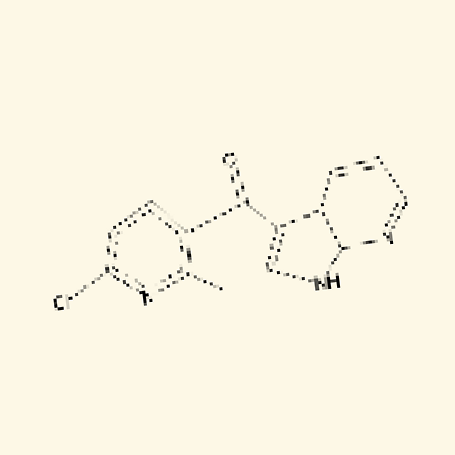 Cc1nc(Cl)ccc1C(=O)C1=CNC2N=CC=CC12